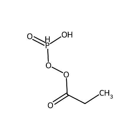 CCC(=O)OO[PH](=O)O